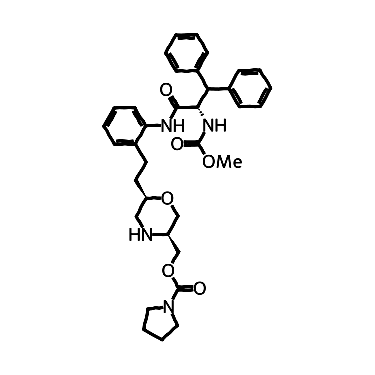 COC(=O)N[C@H](C(=O)Nc1ccccc1CC[C@@H]1CN[C@H](COC(=O)N2CCCC2)CO1)C(c1ccccc1)c1ccccc1